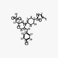 Cc1cnc(C2CCC(N3CC(CS(C)(=O)=O)OCC3Cc3ccc(Cl)cc3)CC2)o1